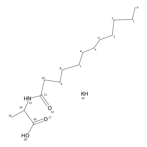 CCCCCCCCCCCC(=O)NC(C)C(=O)O.[KH]